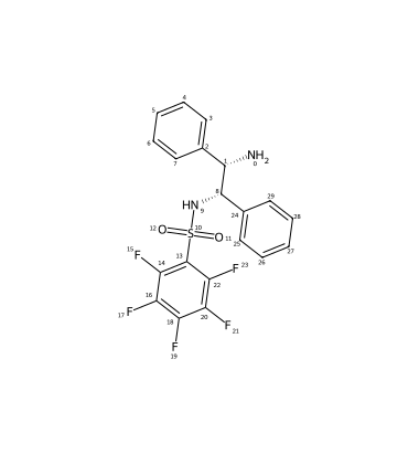 N[C@@H](c1ccccc1)[C@@H](NS(=O)(=O)c1c(F)c(F)c(F)c(F)c1F)c1ccccc1